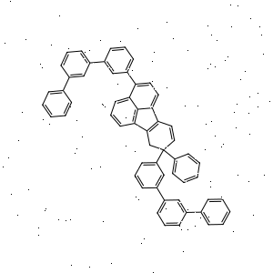 C1=CC(c2ccccc2)(c2cccc(-c3cccc(-c4ccccc4)c3)c2)CC2=C1c1ccc(-c3cccc(-c4cccc(-c5ccccc5)c4)c3)c3cccc2c13